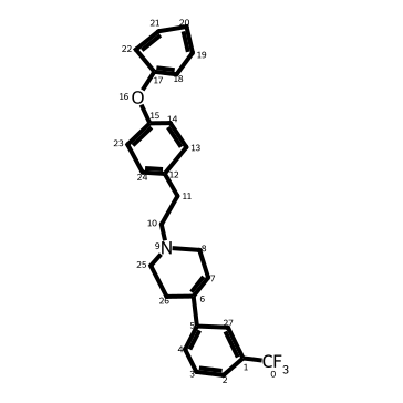 FC(F)(F)c1cccc(C2=CCN(CCc3ccc(Oc4ccccc4)cc3)CC2)c1